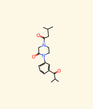 CC(C)CC(=O)N1CCN(c2cccc(C(=O)C(C)C)c2)C(=O)C1